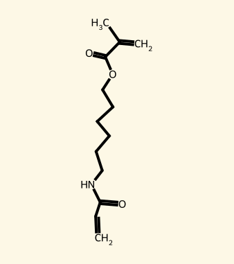 C=CC(=O)NCCCCCCOC(=O)C(=C)C